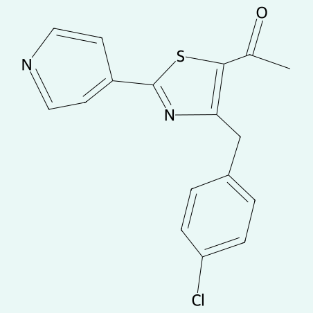 CC(=O)c1sc(-c2ccncc2)nc1Cc1ccc(Cl)cc1